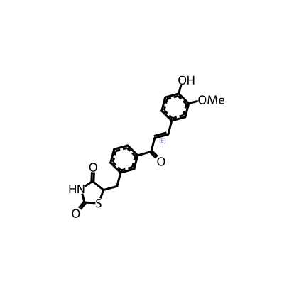 COc1cc(/C=C/C(=O)c2cccc(CC3SC(=O)NC3=O)c2)ccc1O